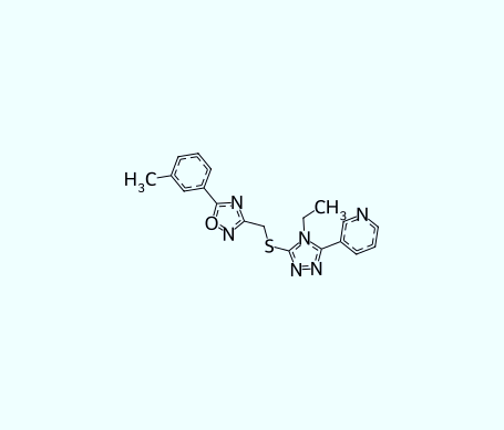 CCn1c(SCc2noc(-c3cccc(C)c3)n2)nnc1-c1cccnc1